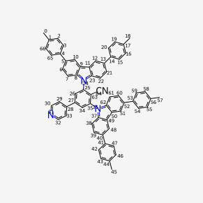 Cc1ccc(-c2ccc3c(c2)c2cc(-c4ccc(C)cc4)ccc2n3-c2cc(-c3ccncc3)cc(-n3c4ccc(-c5ccc(C)cc5)cc4c4cc(-c5ccc(C)cc5)ccc43)c2C#N)cc1